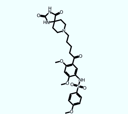 COc1ccc(S(=O)(=O)Nc2cc(C(=O)CCCCN3CCC4(CC3)NC(=O)NC4=O)c(OC)cc2OC)cc1